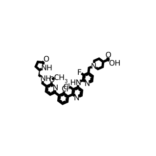 COc1nc(-c2cccc(-c3nccc(Nc4nccc(CN5CCC(C(=O)O)CC5)c4F)c3Cl)c2Cl)ccc1CNC[C@H]1CCC(=O)N1